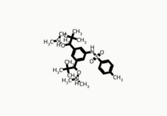 Cc1ccc(S(=O)(=O)Nc2cc(C(O[SiH](C)C)C(C)(C)C)cc(C(O[SiH](C)C)C(C)(C)C)c2)cc1